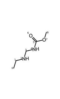 CCNCNC(=O)OC